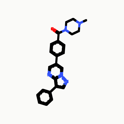 CN1CCN(C(=O)c2ccc(-c3cnc4c(-c5ccccc5)cnn4c3)cc2)CC1